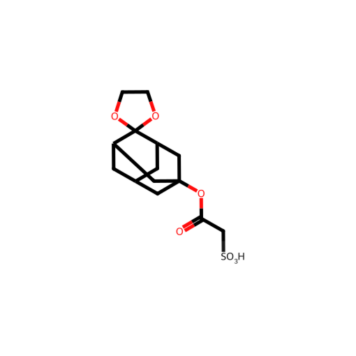 O=C(CS(=O)(=O)O)OC12CC3CC(C1)C1(OCCO1)C(C3)C2